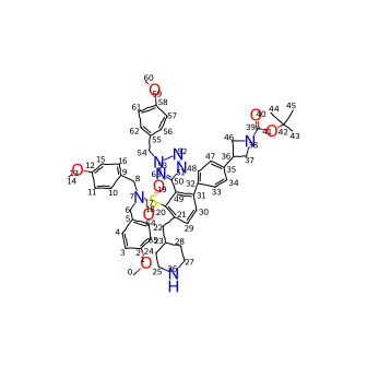 COc1ccc(CN(Cc2ccc(OC)cc2)S(=O)(=O)c2c(CC3CCNCC3)ccc(-c3ccc(C4CN(C(=O)OC(C)(C)C)C4)cc3)c2-c2nnn(Cc3ccc(OC)cc3)n2)cc1